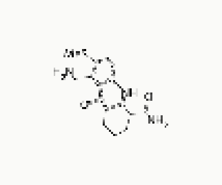 CSc1ccc2[nH]c3c(c(=O)c2c1CN)CCCC3C(N)=O